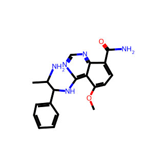 COc1ccc(C(N)=O)c2ncnc(NC(c3ccccc3)C(C)N)c12